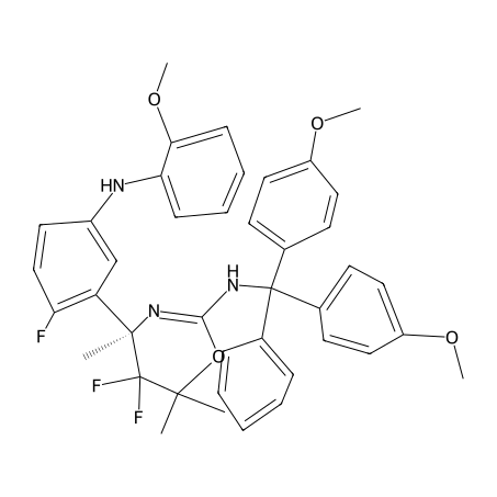 COc1ccc(C(NC2=N[C@](C)(c3cc(Nc4ccccc4OC)ccc3F)C(F)(F)C(C)(C)O2)(c2ccccc2)c2ccc(OC)cc2)cc1